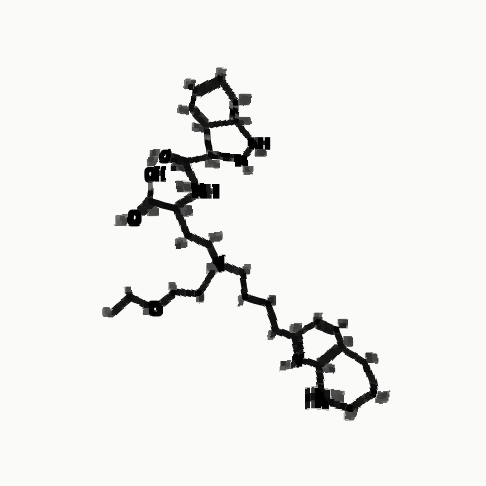 CCOCCN(CCCCc1ccc2c(n1)NCCC2)CCC(NC(=O)c1n[nH]c2ccccc12)C(=O)O